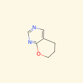 c1ncc2c(n1)OCCC2